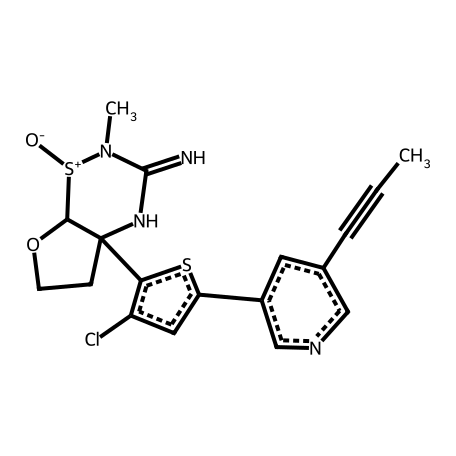 CC#Cc1cncc(-c2cc(Cl)c(C34CCOC3[S+]([O-])N(C)C(=N)N4)s2)c1